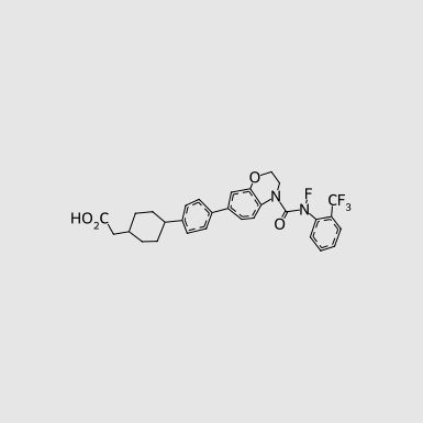 O=C(O)CC1CCC(c2ccc(-c3ccc4c(c3)OCCN4C(=O)N(F)c3ccccc3C(F)(F)F)cc2)CC1